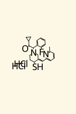 Cc1cccc(C=C2CN(C(C(=O)C3CC3)c3ccccc3F)CCC2S)n1.Cl.Cl